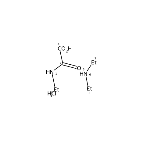 CCNC(=O)C(=O)O.CCNCC.Cl